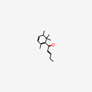 CCC=CC(=O)C1=C(C)C=CC(C)C1(C)C